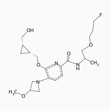 COC1CN(c2ccc(C(=O)NC(C)COCCCF)nc2OC[C@@H]2C[C@@H]2CO)C1